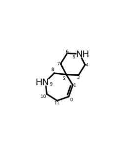 C1=CC2(CCNCC2)CNCC1